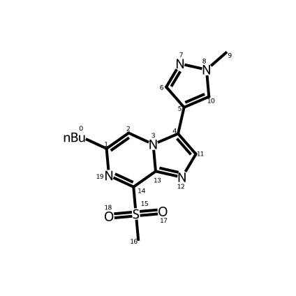 CCCCc1cn2c(-c3cnn(C)c3)cnc2c(S(C)(=O)=O)n1